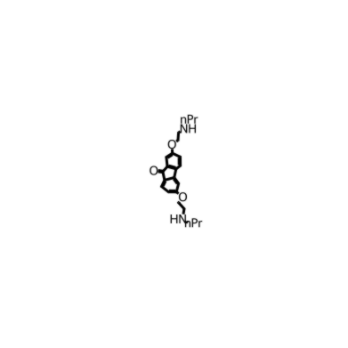 CCCNCCOc1ccc2c(c1)C(=O)c1ccc(OCCNCCC)cc1-2